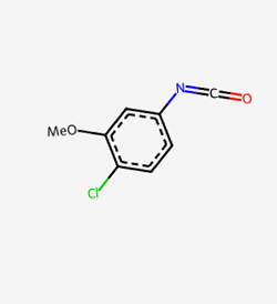 COc1cc(N=C=O)ccc1Cl